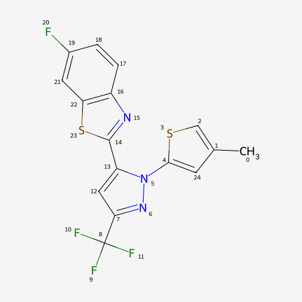 Cc1csc(-n2nc(C(F)(F)F)cc2-c2nc3ccc(F)cc3s2)c1